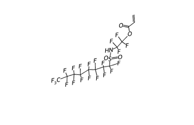 C=CC(=O)OC(F)(F)C(F)(F)NS(=O)(=O)C(F)(F)C(F)(F)C(F)(F)C(F)(F)C(F)(F)C(F)(F)C(F)(F)C(F)(F)F